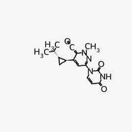 CC(C)[C@H]1C[C@@H]1C1=CC(n2ccc(=O)[nH]c2=O)=NN(C)C1=C=O